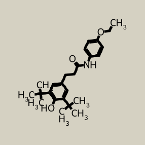 CCOc1ccc(NC(=O)CCc2cc(C(C)(C)C)c(O)c(C(C)(C)C)c2)cc1